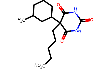 CC1CCCC(C2(CCCCC(=O)O)C(=O)NC(=O)NC2=O)C1